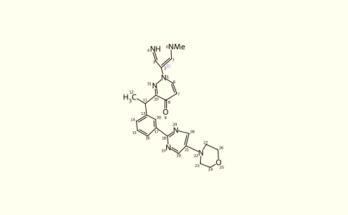 CN/C=C(\C=N)n1ccc(=O)c(C(C)c2cccc(-c3ncc(N4CCOCC4)cn3)c2)n1